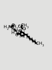 C=C(C)C(=O)Oc1cc(CCCCCCCCC)ccc1C(=O)OCCNC(N)=O